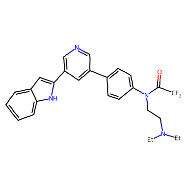 CCN(CC)CCN(C(=O)C(F)(F)F)c1ccc(-c2cncc(-c3cc4ccccc4[nH]3)c2)cc1